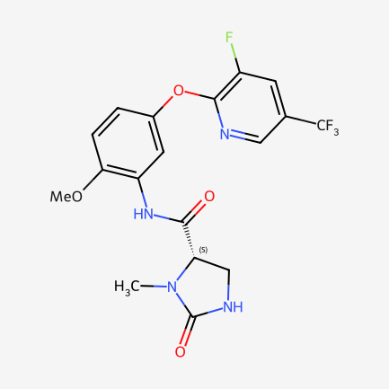 COc1ccc(Oc2ncc(C(F)(F)F)cc2F)cc1NC(=O)[C@@H]1CNC(=O)N1C